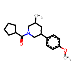 CC1CC(c2ccc(OC(F)(F)F)cc2)CN(C(=O)C2CCCC2)C1